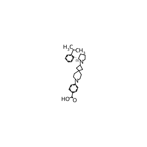 CC(C)c1ccccc1[C@@H]1CCCN1C1CC2(CCN(c3ccc(C(=O)O)cc3)CC2)C1